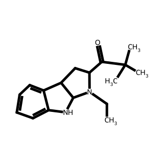 CCN1C(C(=O)C(C)(C)C)CC2c3ccccc3NC21